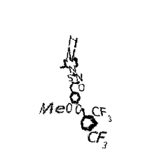 COc1cc(CC2SC(N3CCNCC3C)=NC2=O)ccc1OCc1ccc(C(F)(F)F)cc1C(F)(F)F